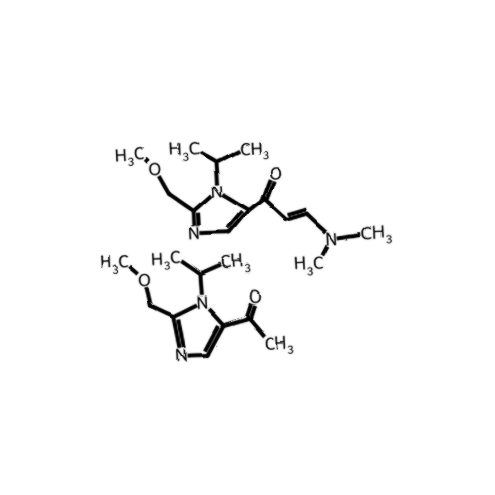 COCc1ncc(C(=O)/C=C/N(C)C)n1C(C)C.COCc1ncc(C(C)=O)n1C(C)C